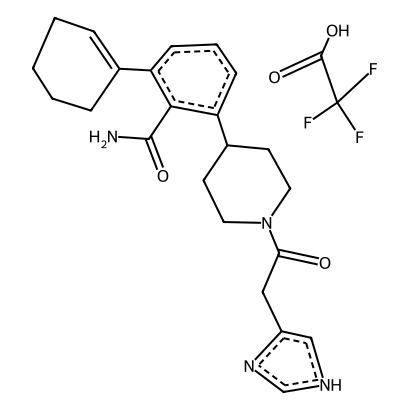 NC(=O)c1c(C2=CCCCC2)cccc1C1CCN(C(=O)Cc2c[nH]cn2)CC1.O=C(O)C(F)(F)F